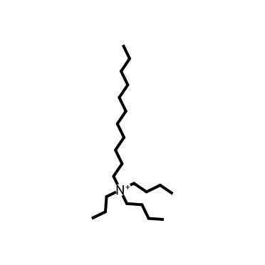 CCCCCCCCCCC[N+](CCC)(CCCC)CCCC